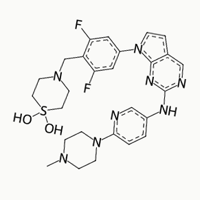 CN1CCN(c2ccc(Nc3ncc4ccn(-c5cc(F)c(CN6CCS(O)(O)CC6)c(F)c5)c4n3)cn2)CC1